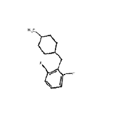 CC1CCC(Cc2c(F)cccc2F)CC1